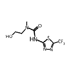 CN(CCO)C(=O)Nc1nnc(C(F)(F)F)s1